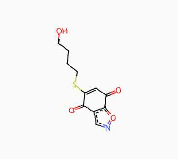 O=C1C(SCCCCO)=CC(=O)c2oncc21